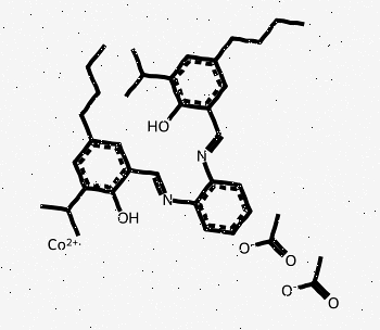 CC(=O)[O-].CC(=O)[O-].CCCCc1cc(C=Nc2ccccc2N=Cc2cc(CCCC)cc(C(C)C)c2O)c(O)c(C(C)C)c1.[Co+2]